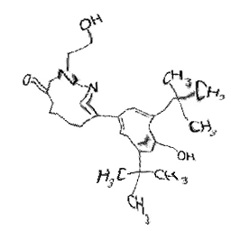 CC(C)(C)c1cc(C2=NN(CCO)C(=O)CC2)cc(C(C)(C)C)c1O